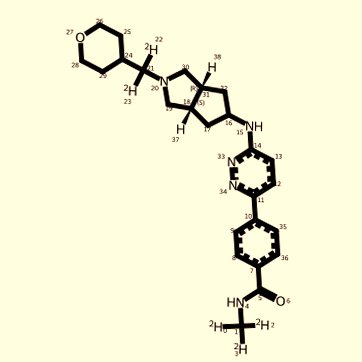 [2H]C([2H])([2H])NC(=O)c1ccc(-c2ccc(NC3C[C@@H]4CN(C([2H])([2H])C5CCOCC5)C[C@@H]4C3)nn2)cc1